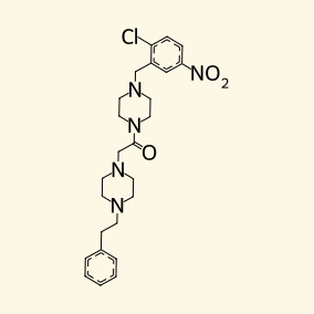 O=C(CN1CCN(CCc2ccccc2)CC1)N1CCN(Cc2cc([N+](=O)[O-])ccc2Cl)CC1